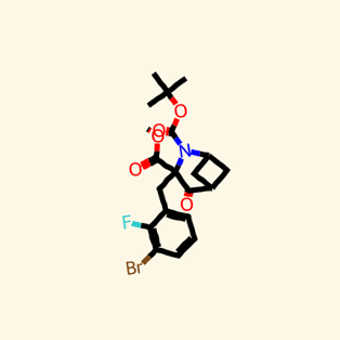 COC(=O)C1(Cc2cccc(Br)c2F)C(=O)C2CC(C2)N1C(=O)OC(C)(C)C